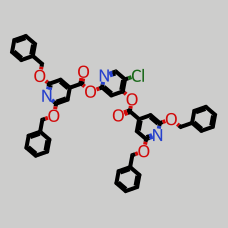 O=C(Oc1cc(OC(=O)c2cc(OCc3ccccc3)nc(OCc3ccccc3)c2)c(Cl)cn1)c1cc(OCc2ccccc2)nc(OCc2ccccc2)c1